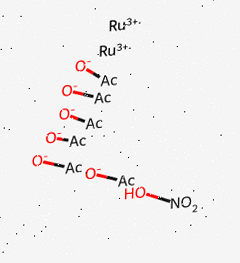 CC(=O)[O-].CC(=O)[O-].CC(=O)[O-].CC(=O)[O-].CC(=O)[O-].CC(=O)[O-].O=[N+]([O-])O.[Ru+3].[Ru+3]